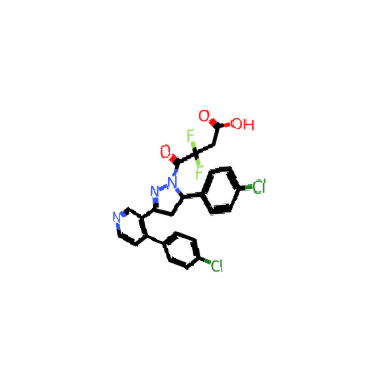 O=C(O)CC(F)(F)C(=O)N1N=C(c2cnccc2-c2ccc(Cl)cc2)CC1c1ccc(Cl)cc1